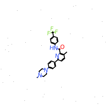 Cc1ccc(-c2ccc(N3CCN(C)CC3)cc2)nc1C(=O)Nc1ccc(C(F)(F)F)cc1